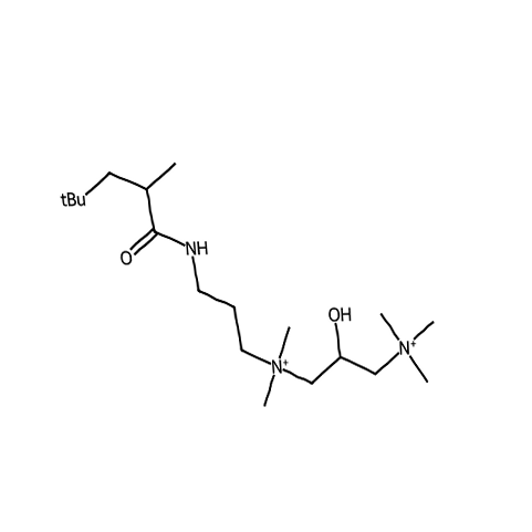 CC(CC(C)(C)C)C(=O)NCCC[N+](C)(C)CC(O)C[N+](C)(C)C